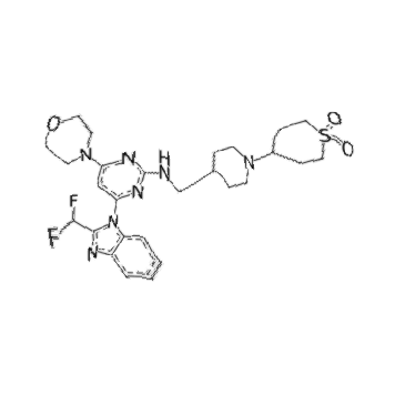 O=S1(=O)CCC(N2CCC(CNc3nc(N4CCOCC4)cc(-n4c(C(F)F)nc5ccccc54)n3)CC2)CC1